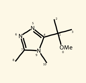 COC(C)(C)c1nnc(C)n1C